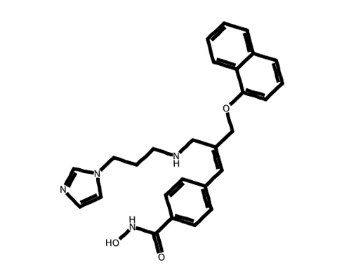 O=C(NO)c1ccc(C=C(CNCCCn2ccnc2)COc2cccc3ccccc23)cc1